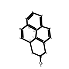 [O]C1Cc2ccc3cccc4c3c2C(C=C4)C1